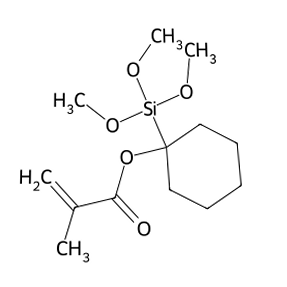 C=C(C)C(=O)OC1([Si](OC)(OC)OC)CCCCC1